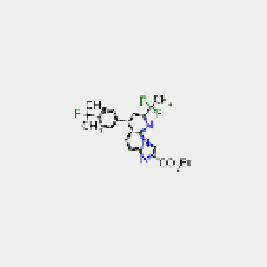 CCOC(=O)c1cn2c(ccc3c(-c4ccc(C(C)(C)F)cc4)cc(C(F)(F)C(F)(F)F)nc32)n1